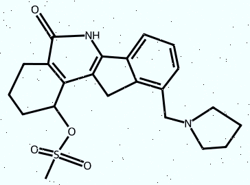 CS(=O)(=O)OC1CCCc2c1c1c([nH]c2=O)-c2cccc(CN3CCCC3)c2C1